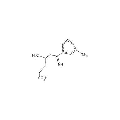 CC(CCC(=O)O)CC(=N)c1cccc(C(F)(F)F)c1